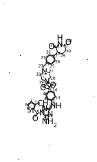 Cc1ccsc1C(=O)n1nc(Nc2ccc(S(=O)(=O)N3CCN(Cc4ccc(C5CCC(=O)NC5=O)cc4)CC3)cc2)nc1N